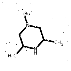 CCC(C)N1CC(C)NC(C)C1